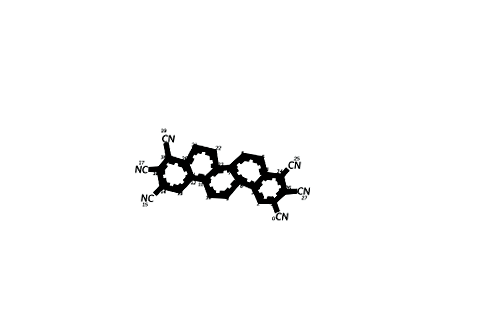 N#Cc1cc2c(ccc3c2ccc2c4cc(C#N)c(C#N)c(C#N)c4ccc23)c(C#N)c1C#N